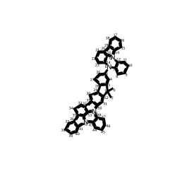 CC1(C)c2cc(N3c4ccccc4-n4c5ccccc5c5cccc3c54)ccc2-c2cc3c4ccc5c6ccccc6n6c7ccccc7n(c3cc21)c4c56